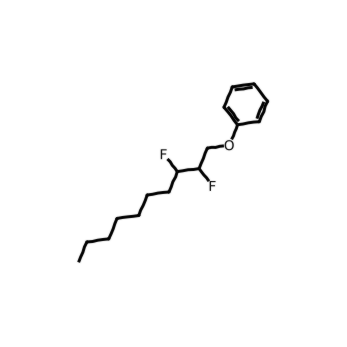 CCCCCCCC(F)C(F)COc1ccccc1